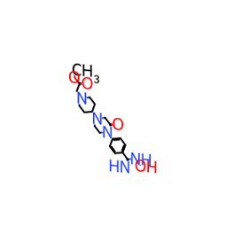 COC(=O)CN1CCC(N2CCN(c3ccc(C(=N)NO)cc3)C(=O)C2)CC1